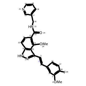 COc1cc(/C=C/c2n[nH]c3ccc(C(=O)NCc4cccnc4)c(OC)c23)ccc1F